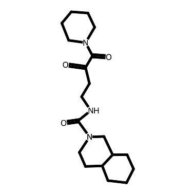 O=C(CCNC(=O)N1CCC2CCCCC2C1)C(=O)N1CCCCC1